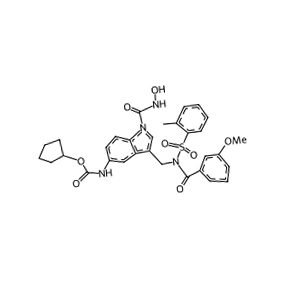 COc1cccc(C(=O)N(Cc2cn(C(=O)NO)c3ccc(NC(=O)OC4CCCC4)cc23)S(=O)(=O)c2ccccc2C)c1